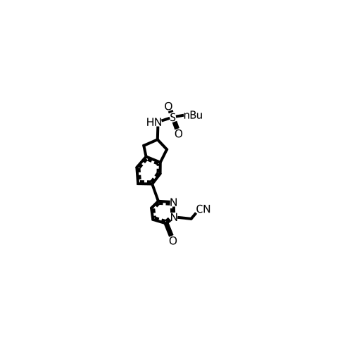 CCCCS(=O)(=O)NC1Cc2ccc(-c3ccc(=O)n(CC#N)n3)cc2C1